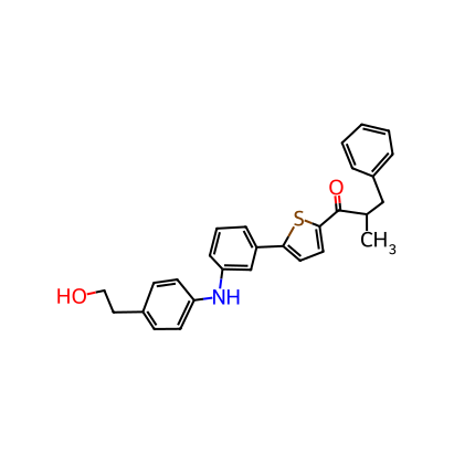 CC(Cc1ccccc1)C(=O)c1ccc(-c2cccc(Nc3ccc(CCO)cc3)c2)s1